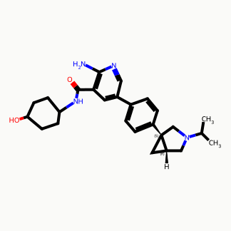 CC(C)N1C[C@@H]2C[C@]2(c2ccc(-c3cnc(N)c(C(=O)NC4CCC(O)CC4)c3)cc2)C1